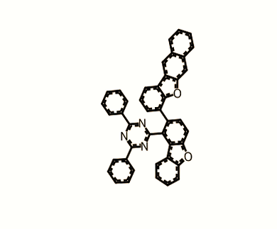 c1ccc(-c2nc(-c3ccccc3)nc(-c3c(-c4cccc5c4oc4cc6ccccc6cc45)ccc4oc5ccccc5c34)n2)cc1